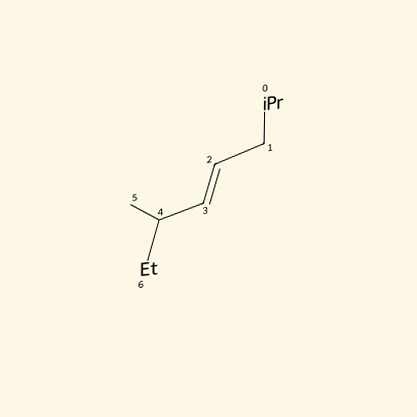 [CH2]C(C)CC=CC(C)CC